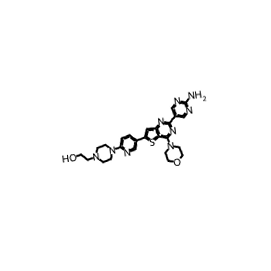 Nc1ncc(-c2nc(N3CCOCC3)c3sc(-c4ccc(N5CCN(CCO)CC5)nc4)cc3n2)cn1